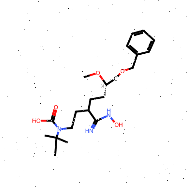 CO[C@@H](CCC(CCN(C(=O)O)C(C)(C)C)C(=N)NO)COCc1ccccc1